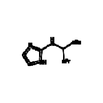 CCCCC(CCC)Nc1ncc[nH]1